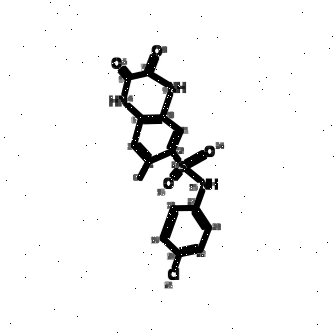 Cc1cc2[nH]c(=O)c(=O)[nH]c2cc1S(=O)(=O)Nc1ccc(Cl)cc1